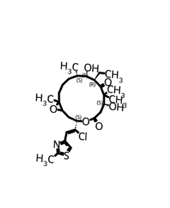 CC[C@H]1C(=O)C(C)(C)[C@@H](O)CC(=O)O[C@H](C(Cl)=Cc2csc(C)n2)CC2OC2(C)CCC[C@H](C)[C@@H]1O